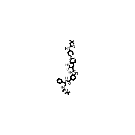 C=C(NCC(NC(=O)c1ccc(Cl)c(NC(=O)c2cc3cnc(N4CCC(NC(=O)CC(C)(C)C)CC4)nc3[nH]c2=O)c1)c1ccccc1)OC(C)(C)C